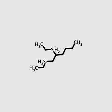 CCCCC(C[SiH2]CC)[SiH2]CC